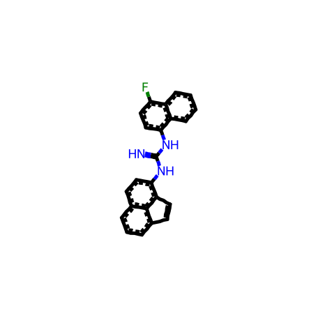 N=C(Nc1ccc2cccc3c2c1C=C3)Nc1ccc(F)c2ccccc12